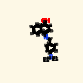 CCN(CC)c1ccc(C=Nc2ccc(O)c3ccccc23)cc1